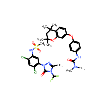 CON(C)C(=O)Nc1ccc(Oc2ccc3c(c2)OC(C)(OC)CC3(C)C)cc1.Cc1nn(-c2cc(NS(C)(=O)=O)c(Cl)cc2Cl)c(=O)n1C(F)F